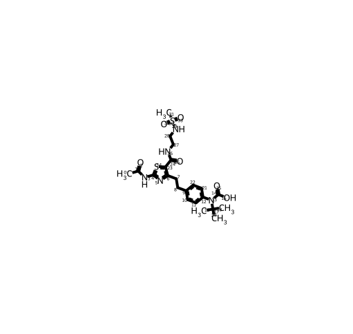 CC(=O)Nc1nc(CCc2ccc(N(C(=O)O)C(C)(C)C)cc2)c(C(=O)NCCNS(C)(=O)=O)s1